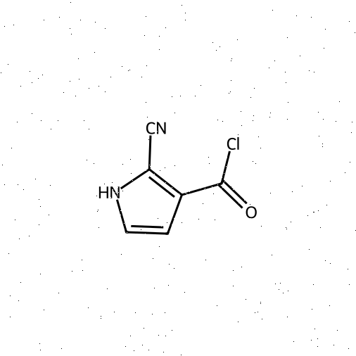 N#Cc1[nH]ccc1C(=O)Cl